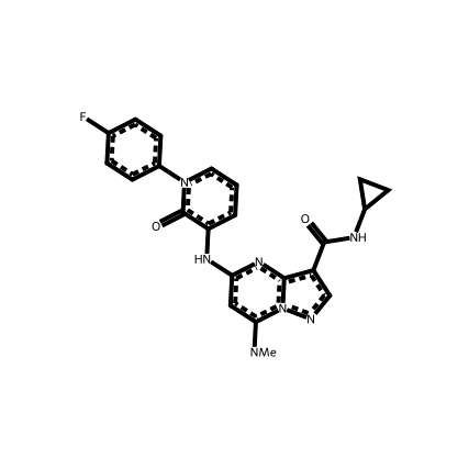 CNc1cc(Nc2cccn(-c3ccc(F)cc3)c2=O)nc2c(C(=O)NC3CC3)cnn12